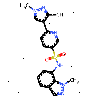 Cc1nn(C)cc1-c1ccc(S(=O)(=O)Nc2cccc3cnn(C)c23)cn1